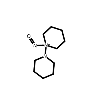 O=N[N+]1(N2CCCCC2)CCCCC1